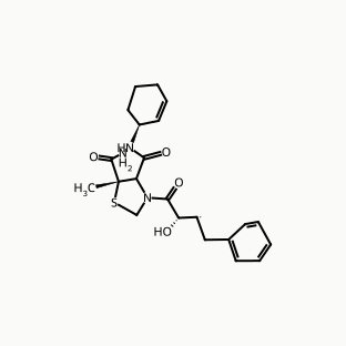 C[C@]1(C(N)=O)SCN(C(=O)[C@@H](O)[CH]Cc2ccccc2)C1C(=O)N[C@@H]1C=CCCC1